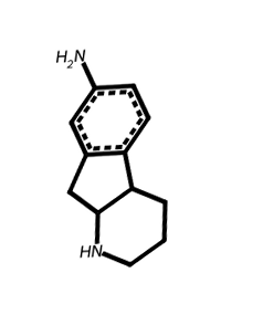 Nc1ccc2c(c1)CC1NCCCC21